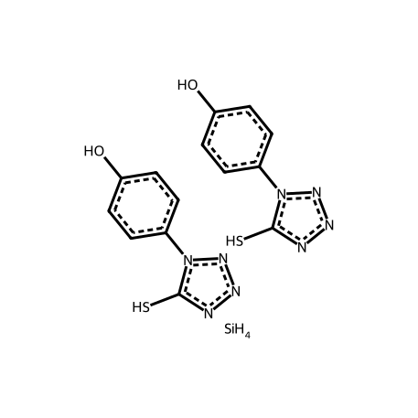 Oc1ccc(-n2nnnc2S)cc1.Oc1ccc(-n2nnnc2S)cc1.[SiH4]